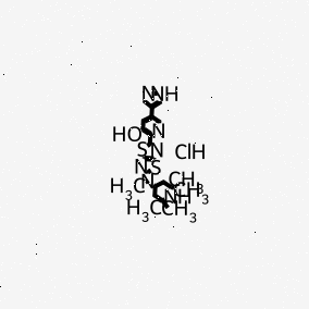 CN(c1nc2sc(-c3ncc(-c4cn[nH]c4)cc3O)nc2s1)C1CC(C)(C)NC(C)(C)C1.Cl